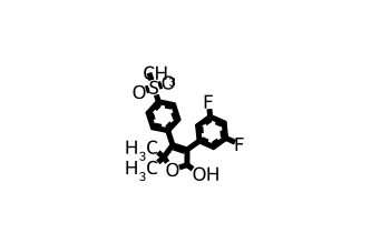 CC1(C)OC(O)C(c2cc(F)cc(F)c2)=C1c1ccc(S(C)(=O)=O)cc1